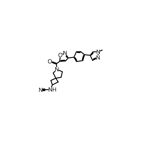 Cn1cc(-c2ccc(-c3cc(C(=O)N4CCC5(CC(NC#N)C5)C4)on3)cc2)cn1